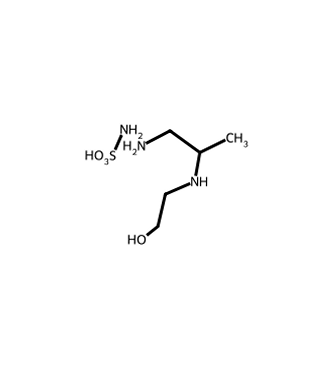 CC(CN)NCCO.NS(=O)(=O)O